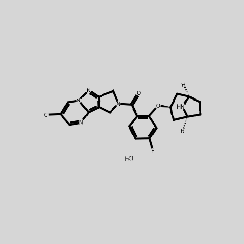 Cl.O=C(c1ccc(F)cc1O[C@H]1C[C@H]2CC[C@@H](C1)N2)N1Cc2nn3cc(Cl)cnc3c2C1